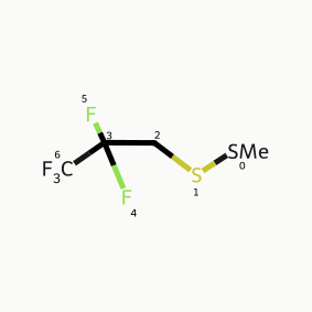 CSSCC(F)(F)C(F)(F)F